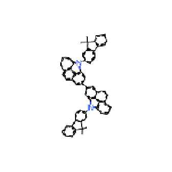 CC1(C)c2ccccc2-c2ccc(-n3c4cccc5ccc6cc(-c7cc8ccc9cccc%10c9c8c(c7)n%10-c7ccc8c(c7)C(C)(C)c7ccccc7-8)cc3c6c54)cc21